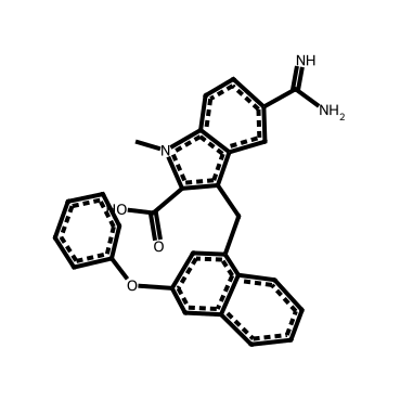 Cn1c(C(=O)O)c(Cc2cc(Oc3ccccc3)cc3ccccc23)c2cc(C(=N)N)ccc21